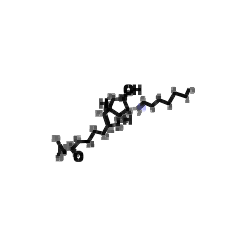 CCCCCC/C=C/[C@@H]1[C@H]2CC(CCCCC(=O)N(C)C)=C[C@H]2C[C@H]1O